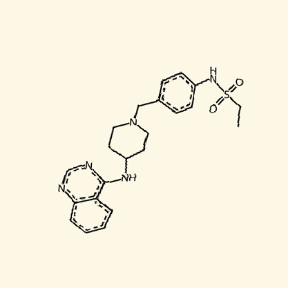 CCS(=O)(=O)Nc1ccc(CN2CCC(Nc3ncnc4ccccc34)CC2)cc1